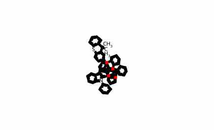 CC1(C)c2ccccc2Sc2ccc(N(c3ccccc3C3(c4ccccc4)c4ccccc4-c4ccccc43)c3cc4c5ccccc5n(-c5ccccc5)c4c4ccccc34)cc21